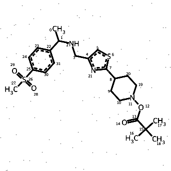 CC(NCc1csc(C2CCN(OC(=O)C(C)(C)C)CC2)n1)c1ccc(S(C)(=O)=O)cc1